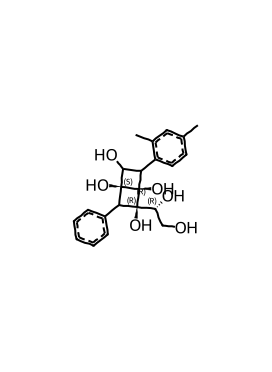 Cc1ccc(C2C(O)[C@@]3(O)C(c4ccccc4)[C@@](O)([C@H](O)CO)[C@@]23O)c(C)c1